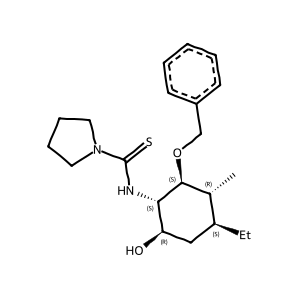 CC[C@H]1C[C@@H](O)[C@H](NC(=S)N2CCCC2)[C@@H](OCc2ccccc2)[C@@H]1C